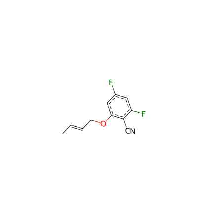 C/C=C/COc1cc(F)cc(F)c1C#N